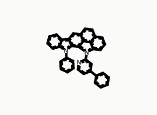 c1ccc(-c2ccnc(-n3c4cccc5ccc6cc7c8ccccc8n(-c8ccccc8)c7c3c6c54)c2)cc1